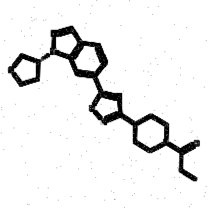 CCC(=O)N1CCC(c2noc(-c3ccc4cnn([C@@H]5CCOC5)c4c3)n2)CC1